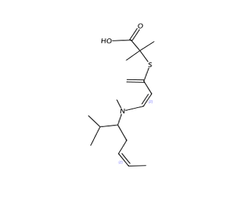 C=C(/C=C\N(C)C(C/C=C\C)C(C)C)SC(C)(C)C(=O)O